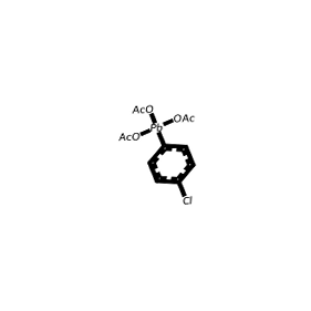 CC(=O)[O][Pb]([O]C(C)=O)([O]C(C)=O)[c]1ccc(Cl)cc1